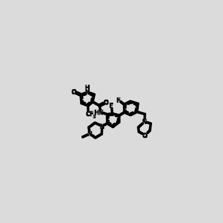 CN1CCN(c2ccc(-c3cc(CN4CCOCC4)ccc3F)c(F)c2NC(=O)c2c[nH]c(=O)cc2C(F)(F)F)CC1